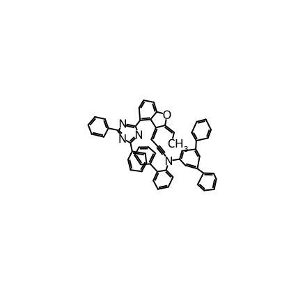 C/C=c1/oc2cccc(-c3nc(-c4ccccc4)nc(-c4ccccc4)n3)c2/c1=C/C#CN(c1cc(-c2ccccc2)cc(-c2ccccc2)c1)c1ccccc1-c1ccccc1